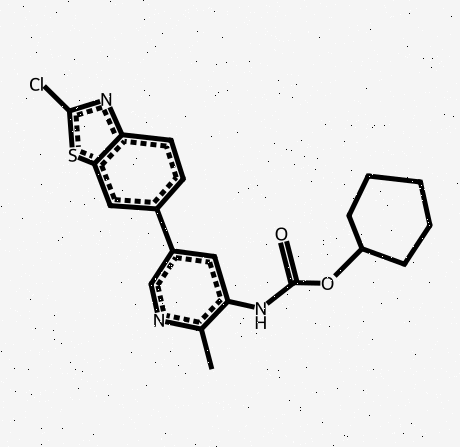 Cc1ncc(-c2ccc3nc(Cl)sc3c2)cc1NC(=O)OC1CCCCC1